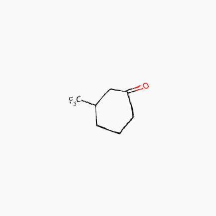 O=C1CCCC(C(F)(F)F)C1